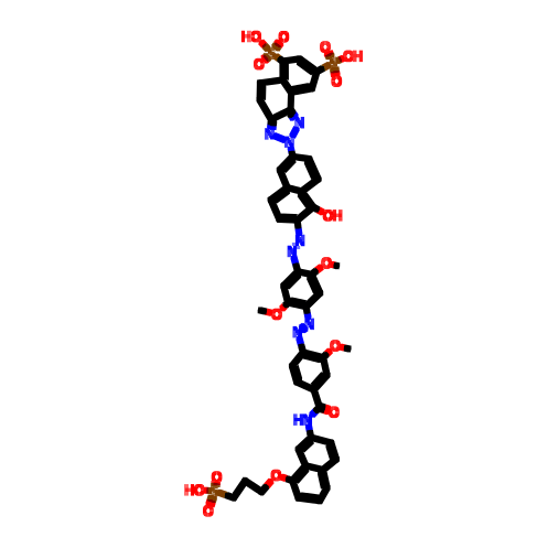 COc1cc(C(=O)Nc2ccc3cccc(OCCCS(=O)(=O)O)c3c2)ccc1N=Nc1cc(OC)c(N=Nc2ccc3cc(-n4nc5ccc6c(S(=O)(=O)O)cc(S(=O)(=O)O)cc6c5n4)ccc3c2O)cc1OC